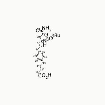 CC(C)(C)OC(=O)N[C@H](CCCc1ccc(CCCCC(=O)O)cc1)CCC(N)=O